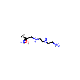 CC(C)C1(CNCCNCCN)NO1